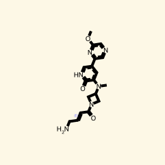 COc1cncc(-c2c[nH]c(=O)c(N(C)C3CN(C(=O)/C=C/CN)C3)c2)n1